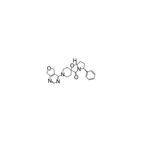 O=C1N2[C@@H](CC[C@H]2c2ccccc2)OC12CCN(c1ncnc3c1COC3)CC2